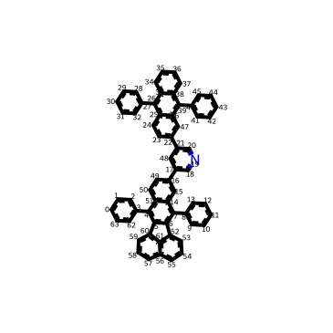 c1ccc(-c2c3c(c(-c4ccccc4)c4cc(-c5cncc(-c6ccc7c(-c8ccccc8)c8ccccc8c(-c8ccccc8)c7c6)c5)ccc24)-c2cccc4cccc-3c24)cc1